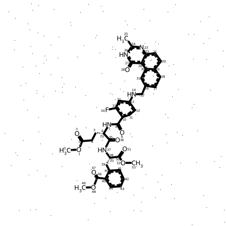 COC(=O)CC[C@H](NC(=O)c1ccc(NCc2ccc3ccc4nc(C)[nH]c(=O)c4c3c2)cc1F)C(=O)N[C@@H](Cc1ccccc1C(=O)OC)C(=O)OC